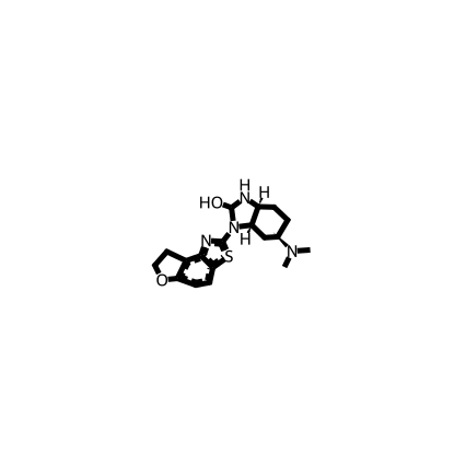 CN(C)[C@@H]1CC[C@@H]2NC(O)N(c3nc4c5c(ccc4s3)OCC5)[C@@H]2C1